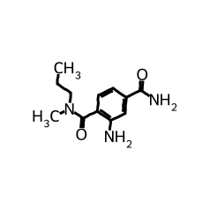 CCCN(C)C(=O)c1ccc(C(N)=O)cc1N